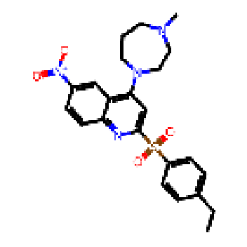 CCc1ccc(S(=O)(=O)c2cc(N3CCCN(C)CC3)c3cc([N+](=O)[O-])ccc3n2)cc1